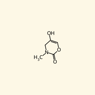 CN1CC(O)=COC1=O